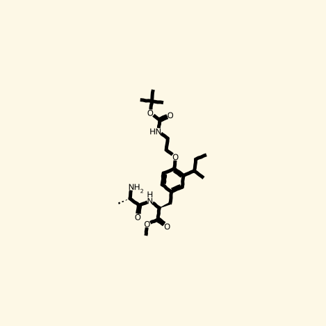 CCC(C)c1cc(C[C@H](NC(=O)[C@H](C)N)C(=O)OC)ccc1OCCNC(=O)OC(C)(C)C